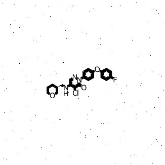 O=c1c(Cl)c(NC[C@H]2CCCOC2)cnn1-c1ccc(Oc2ccc(F)cc2)cc1